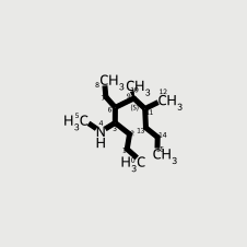 CCCC(NC)C(CC)[C@@H](C)C(C)CCC